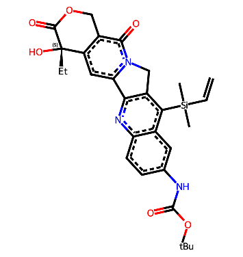 C=C[Si](C)(C)c1c2c(nc3ccc(NC(=O)OC(C)(C)C)cc13)-c1cc3c(c(=O)n1C2)COC(=O)[C@]3(O)CC